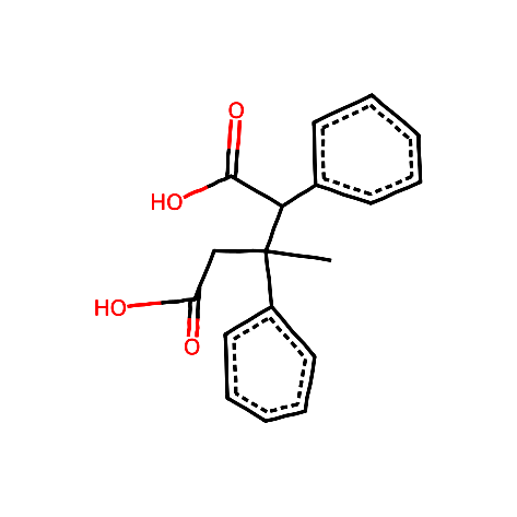 CC(CC(=O)O)(c1ccccc1)C(C(=O)O)c1ccccc1